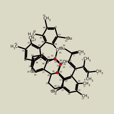 C=C(/C=C(\C(C)=C(C)C)c1c(C)c(C)cc(C(C)(C)C)c1O[P@@](O)Oc1ccccc1C1CCCCC1Op1oc2c(C(C)(C)C)cc(C)c(C)c2c2c(C)c(C)cc(C(C)(C)C)c2o1)C(C)(C)C